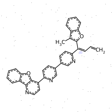 C=C/C=C(/c1ccc(-c2ccc(-c3ccnc4c3oc3ccccc34)nc2)cn1)c1oc2ccccc2c1C